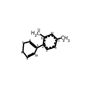 Cc1ccc(C2=CCCC=C2)c(C)c1